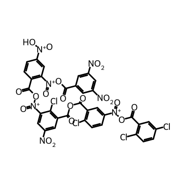 O=C(O[N+](=O)c1cc([N+](=O)O)ccc1C(=O)O[N+](=O)c1cc([N+](=O)[O-])cc(C(=O)OC(=O)c2cc([N+](=O)OC(=O)c3cc(Cl)ccc3Cl)ccc2Cl)c1Cl)c1cc([N+](=O)[O-])cc([N+](=O)[O-])c1